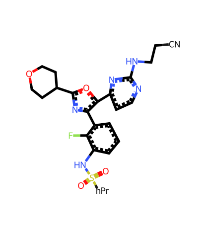 CCCS(=O)(=O)Nc1cccc(-c2nc(C3CCOCC3)oc2-c2ccnc(NCCC#N)n2)c1F